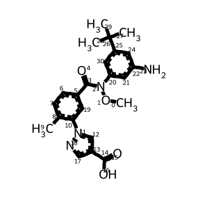 CON(C(=O)c1ccc(C)c(-n2cc(C(=O)O)cn2)c1)c1cc(N)cc(C(C)(C)C)c1